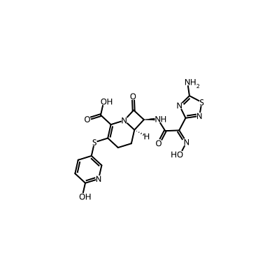 Nc1nc(/C(=N/O)C(=O)N[C@@H]2C(=O)N3C(C(=O)O)=C(Sc4ccc(O)nc4)CC[C@H]23)ns1